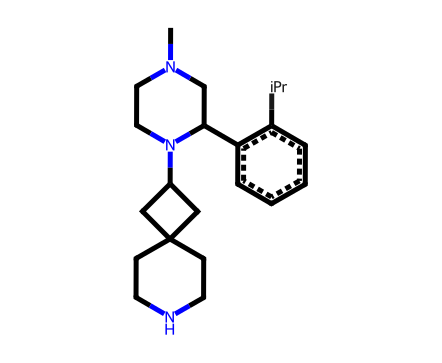 CC(C)c1ccccc1C1CN(C)CCN1C1CC2(CCNCC2)C1